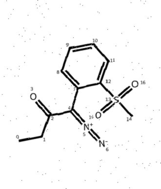 CCC(=O)C(=[N+]=[N-])c1ccccc1S(C)(=O)=O